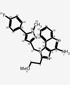 COCCc1nc2c(N)nc3ccccc3c2n1Cc1cc(-c2ccc(F)cc2)n(C)n1